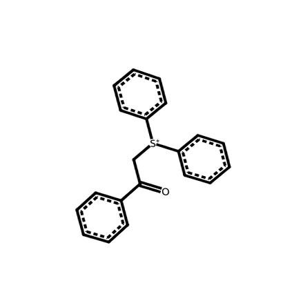 O=C(C[S+](c1ccccc1)c1ccccc1)c1ccccc1